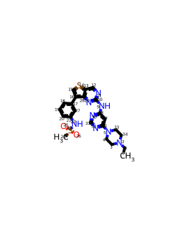 CCN1CCN(c2cc(Nc3ncc4scc(-c5cccc(NS(C)(=O)=O)c5)c4n3)ncn2)CC1